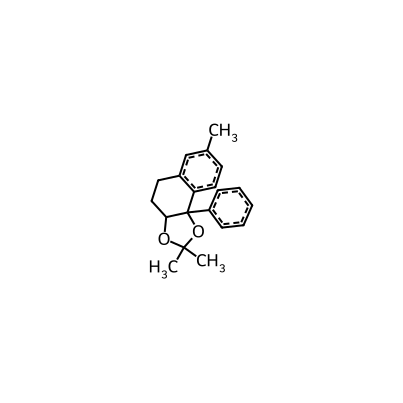 Cc1ccc2c(c1)CCC1OC(C)(C)OC21c1ccccc1